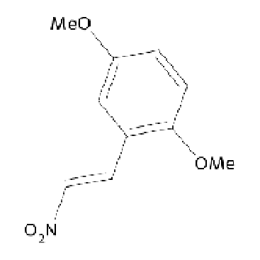 COc1ccc(OC)c(C=C[N+](=O)[O-])c1